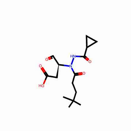 CC(C)(C)CCC(=O)N(NC(=O)C1CC1)[C@H](C=O)CC(=O)O